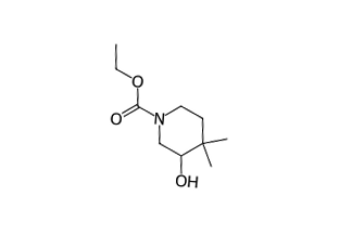 CCOC(=O)N1CCC(C)(C)C(O)C1